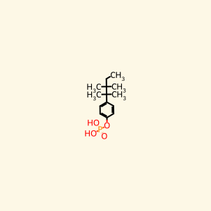 CCC(C)(C)C(C)(C)c1ccc(OP(=O)(O)O)cc1